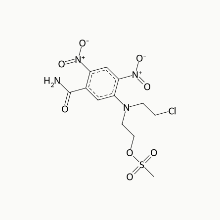 CS(=O)(=O)OCCN(CCCl)c1cc(C(N)=O)c([N+](=O)[O-])cc1[N+](=O)[O-]